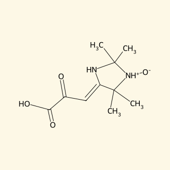 CC1(C)N/C(=C\C(=O)C(=O)O)C(C)(C)[NH+]1[O-]